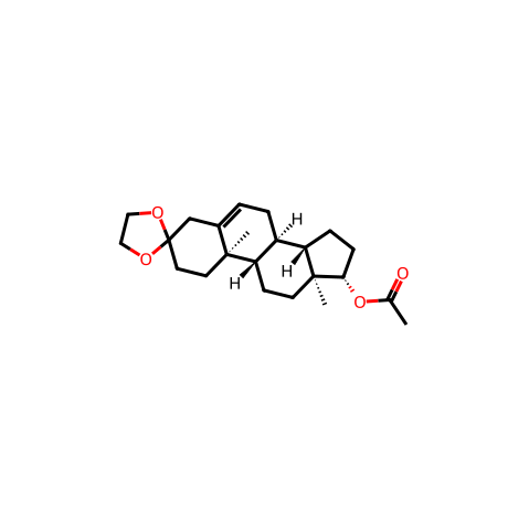 CC(=O)O[C@H]1CC[C@H]2[C@@H]3CC=C4CC5(CC[C@]4(C)[C@H]3CC[C@]12C)OCCO5